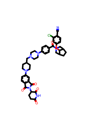 N#Cc1ccc(OC2C3CCC2CN(C(=O)c2ccc(N4CCN(CC5CCN(c6ccc7c(c6)C(=O)N(C6CCC(=O)NC6=O)C7=O)CC5)CC4)cc2)C3)cc1Cl